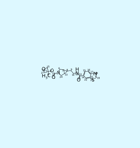 CC1(OC(=O)N2CC3C(CCNC(=O)c4ccc5ncsc5c4)C3C2)COC1